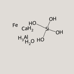 O.O[Si](O)(O)O.[AlH3].[CaH2].[Fe]